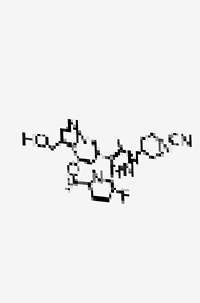 Cc1c(-c2cc(O[C@H](C)c3ccc(F)cn3)c3c(CO)cnn3c2)nnn1C1CCN(C#N)CC1